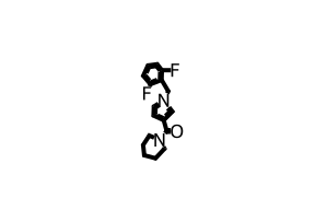 O=C(c1ccn(Cc2c(F)cccc2F)c1)N1CCCCC1